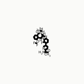 [2H]C([2H])([2H])N1C(=O)c2cccc(OC(F)F)c2[C@H]2C[C@@H]1c1nc3ccc(-c4cnc5c(c4)OC[C@]5(C)N)c(F)c3n12